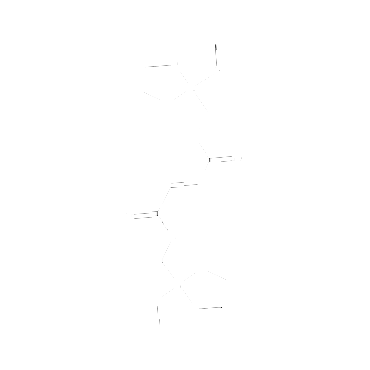 CO[Si](COC(=O)/C=C/C(=O)OC[Si](OC)(OC)OC)(OC)OC